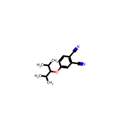 CC(C)C(Oc1ccc(C#N)c(C#N)c1)C(C)C